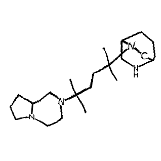 CC(C)(CCC(C)(C)N1CC2CCC1CN2)N1CCN2CCCC2C1